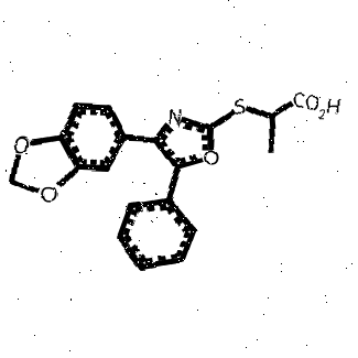 CC(Sc1nc(-c2ccc3c(c2)OCO3)c(-c2ccccc2)o1)C(=O)O